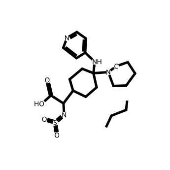 CCCC.O=C(O)C(N=S(=O)=O)C1CCC(Nc2ccncc2)(N2CCCCC2)CC1